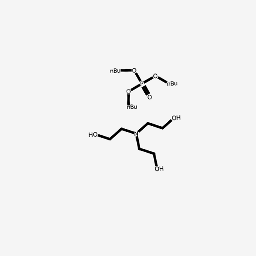 CCCCOP(=O)(OCCCC)OCCCC.OCCN(CCO)CCO